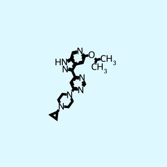 CC(C)Oc1cc2c(-c3cc(N4CCN(C5CC5)CC4)ncn3)n[nH]c2cn1